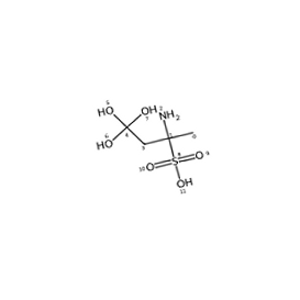 CC(N)(CC(O)(O)O)S(=O)(=O)O